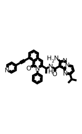 CC(C)c1ccn2nc(N)c(C(=O)NC(C)c3cc4cccc(C#Cc5ccncc5)c4c(=O)n3-c3ccccc3)c2n1